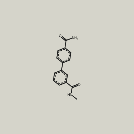 CNC(=O)c1cccc(-c2ccc(C(N)=O)cc2)c1